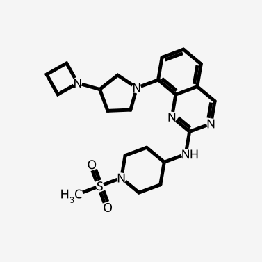 CS(=O)(=O)N1CCC(Nc2ncc3cccc(N4CCC(N5CCC5)C4)c3n2)CC1